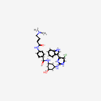 CN(C)C/C=C/C(=O)Nc1ccc(C(=O)NC2CC(O)CC(Nc3ncc(Cl)c(-c4c[nH]c5ccccc45)n3)C2)cc1